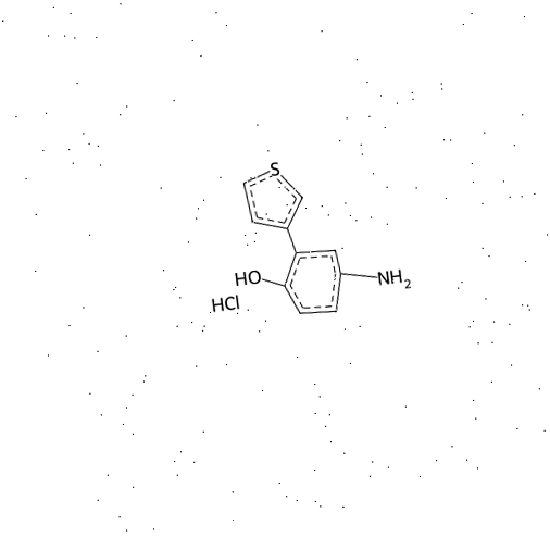 Cl.Nc1ccc(O)c(-c2ccsc2)c1